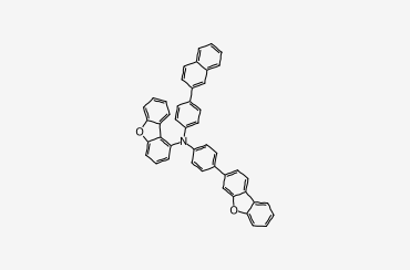 c1ccc2cc(-c3ccc(N(c4ccc(-c5ccc6c(c5)oc5ccccc56)cc4)c4cccc5oc6ccccc6c45)cc3)ccc2c1